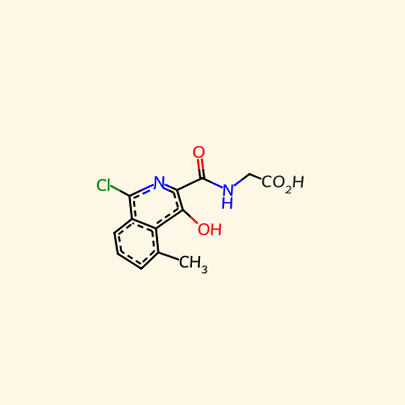 Cc1cccc2c(Cl)nc(C(=O)NCC(=O)O)c(O)c12